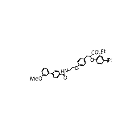 CCOC(=O)C(Cc1ccc(OCCNC(=O)c2ccc(-c3cccc(OC)c3)cc2)cc1)Oc1ccc(C(C)C)cc1